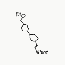 CCCCCC=C[C@H]1CC[C@H]([C@H]2CC[C@H](COCC)CC2)CC1